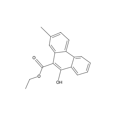 CCOC(=O)c1c(O)c2ccccc2c2ccc(C)cc12